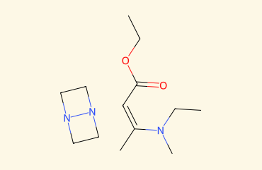 C1CN2CCN12.CCOC(=O)C=C(C)N(C)CC